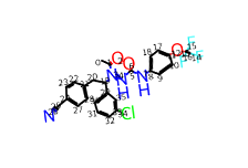 CC(=O)N(NC(=O)Nc1ccc(OC(F)(F)F)cc1)C(Cc1ccc(C#N)cc1)c1cccc(Cl)c1